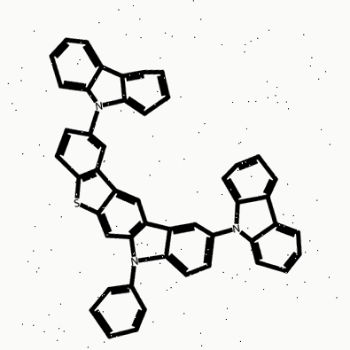 c1ccc(-n2c3ccc(-n4c5ccccc5c5ccccc54)cc3c3cc4c(cc32)sc2ccc(-n3c5ccccc5c5ccccc53)cc24)cc1